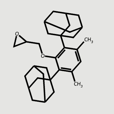 Cc1cc(C)c(C23CC4CC(CC(C4)C2)C3)c(OCC2CO2)c1C12CC3CC(CC(C3)C1)C2